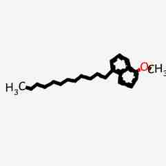 CCCCCCCCCCCCc1cccc2c(OC)cccc12